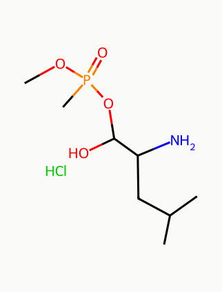 COP(C)(=O)OC(O)C(N)CC(C)C.Cl